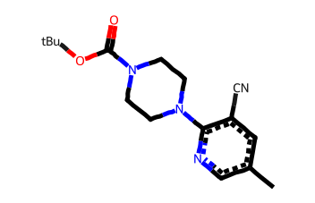 Cc1cnc(N2CCN(C(=O)OC(C)(C)C)CC2)c(C#N)c1